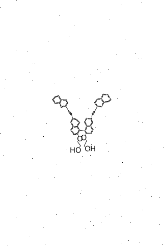 OCCOc1ccc2cc(C#Cc3ccc4ccccc4c3)ccc2c1-c1c(OCCO)ccc2cc(C#Cc3ccc4ccccc4c3)ccc12